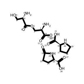 N[C@H](COC(=O)[C@@H](N)CO)C(=O)O.O=C(O)[C@@H]1CCCN1.O=C1CC[C@@H](C(=O)O)N1